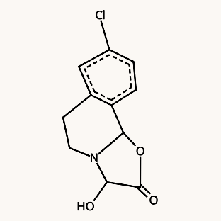 O=C1OC2c3ccc(Cl)cc3CCN2C1O